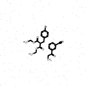 CCC(=O)c1cccc(C#N)c1.CCOC(=O)C(Cc1ccc(Br)cc1)C(=O)OCC